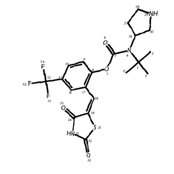 CC(C)(C)N(C(=O)Oc1ccc(C(F)(F)F)cc1C=C1SC(=O)NC1=O)C1CCNC1